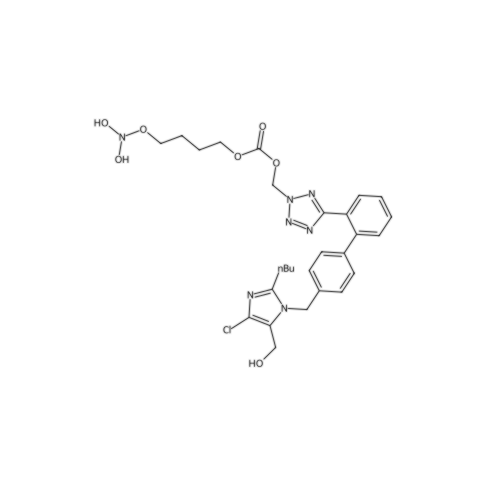 CCCCc1nc(Cl)c(CO)n1Cc1ccc(-c2ccccc2-c2nnn(COC(=O)OCCCCON(O)O)n2)cc1